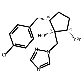 CCC[C@H]1CC[C@@H](Cc2ccc(Cl)cc2)[C@]1(O)Cn1cncn1